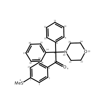 CSc1ccc(C(=O)C(c2ccccc2)(c2ccccc2)N2CCOCC2)cc1